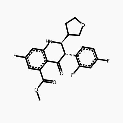 COC(=O)c1cc(F)cc2c1C(=O)[C@@H](c1ccc(F)cc1F)[C@H](C1CCOC1)N2